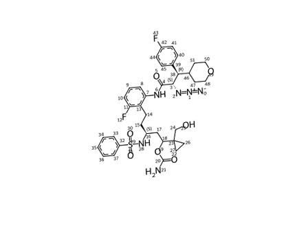 [N-]=[N+]=N[C@H](C(=O)Nc1cccc(F)c1CC[C@@H](CC(OC(N)=O)C1(CO)CC1)NS(=O)(=O)c1ccccc1)[C@@H](c1ccc(F)cc1)C1CCOCC1